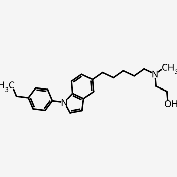 CCc1ccc(-n2ccc3cc(CCCCCN(C)CCO)ccc32)cc1